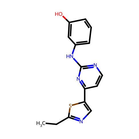 CCc1ncc(-c2ccnc(Nc3cccc(O)c3)n2)s1